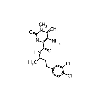 C=C1C(N)=C(C(=O)N[C@H](C)CCc2ccc(Cl)c(Cl)c2)NC(=O)N1C